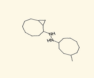 CC1CCCCCC(NNC2CCCCCCC3CC32)CC1